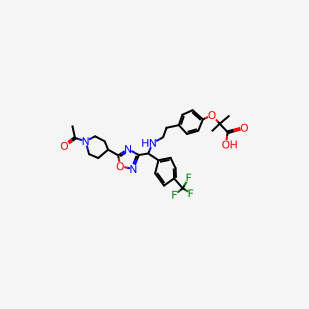 CC(=O)N1CCC(c2nc(C(NCCc3ccc(OC(C)(C)C(=O)O)cc3)c3ccc(C(F)(F)F)cc3)no2)CC1